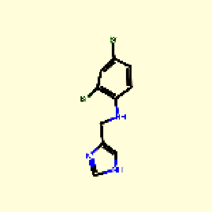 Brc1ccc(NCc2c[nH]cn2)c(Br)c1